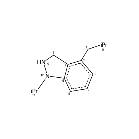 CC(C)Cc1cccc2c1CNN2C(C)C